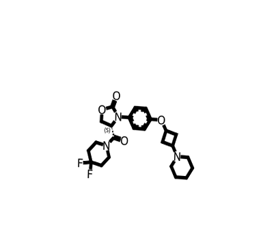 O=C([C@@H]1COC(=O)N1c1ccc(OC2CC(N3CCCCC3)C2)cc1)N1CCC(F)(F)CC1